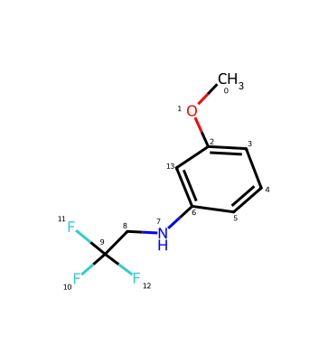 COc1cccc(NCC(F)(F)F)c1